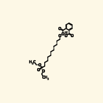 CCOP(=O)(CCCCCCCCCCCOOC(=O)c1ccccc1C(=O)O)OCC